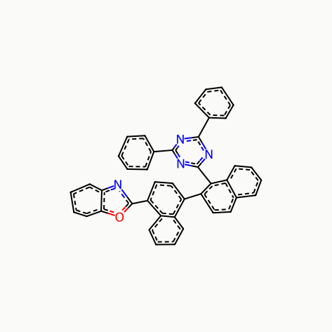 c1ccc(-c2nc(-c3ccccc3)nc(-c3c(-c4ccc(-c5nc6ccccc6o5)c5ccccc45)ccc4ccccc34)n2)cc1